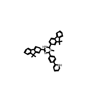 CN1C(c2ccc(C3=CC=CCN3)cc2)N=C(C2C=C3C(=CC2)c2ccccc2C3(C)C)NC1c1ccc2c(c1)C(C)(C)c1ccccc1-2